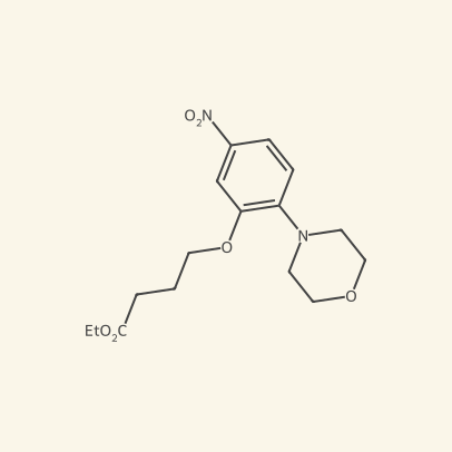 CCOC(=O)CCCOc1cc([N+](=O)[O-])ccc1N1CCOCC1